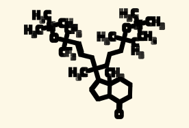 CC(C)(CCCC(C)(C/C=C/C(O[Si](C)(C)C)(C(F)(F)F)C(F)(F)F)C1CCC2C(=O)CCCC21C)O[Si](C)(C)C